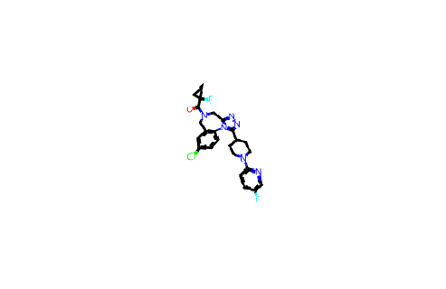 O=C(N1Cc2cc(Cl)ccc2-n2c(nnc2C2CCN(c3ccc(F)cn3)CC2)C1)C1(F)CC1